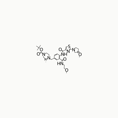 COCCNC(=O)c1cc(CN2CCN(C(=O)OC(C)(C)C)C[C@H]2C)ccc1NC(=O)c1csc(N2CC[C@H](OC)C2)n1